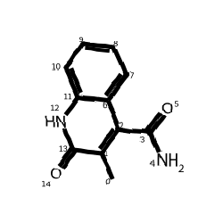 Cc1c(C(N)=O)c2ccccc2[nH]c1=O